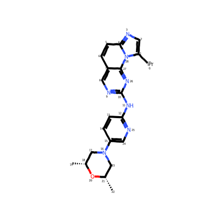 CC(C)c1cnc2ccc3cnc(Nc4ccc(N5C[C@@H](C)O[C@@H](C)C5)cn4)nc3n12